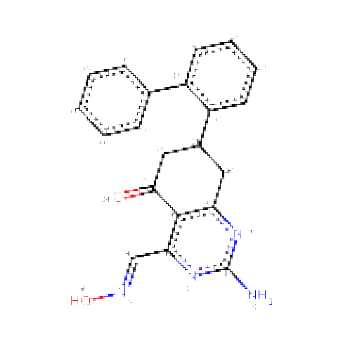 Nc1nc(C=NO)c2c(n1)CC(c1ccccc1-c1ccccc1)CC2=O